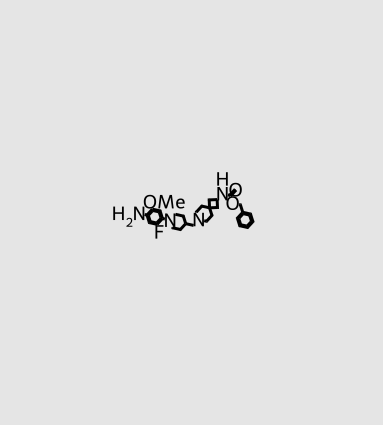 COc1cc(N2CCC(CN3CCC4(CC3)CC(NC(=O)OCc3ccccc3)C4)CC2)c(F)cc1N